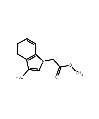 COC(=O)Cn1cc(C)c2c1C=CCC2